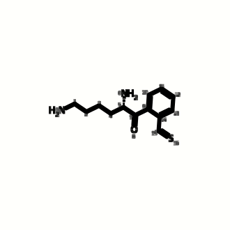 NCCCC[C@H](N)C(=O)c1ccccc1[C]=S